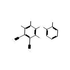 N#Cc1c(F)c(F)c(Oc2ccccc2F)c(F)c1C#N